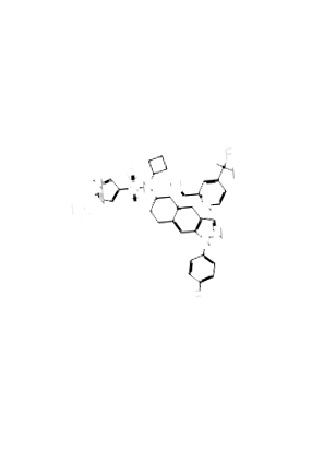 Cn1cc(S(=O)(=O)N(C2CCC2)[C@H]2CCC3=Cc4c(cnn4-c4ccc(F)cc4)C[C@]3(C(=O)c3cc(C(F)(F)F)ccn3)C2)cn1